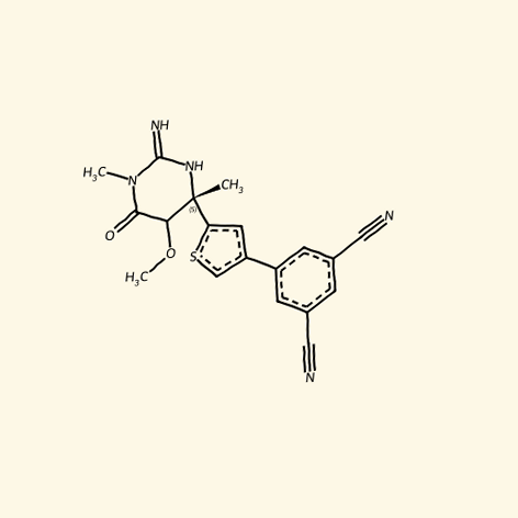 COC1C(=O)N(C)C(=N)N[C@]1(C)c1cc(-c2cc(C#N)cc(C#N)c2)cs1